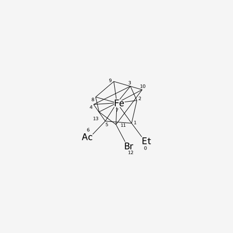 CC[C]12[CH]3[CH]4[CH]5[C]1(C(C)=O)[Fe]43521678[CH]2[CH]1[CH]6[C]7(Br)[CH]28